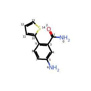 NC(=O)c1cc(N)ccc1-c1cccs1